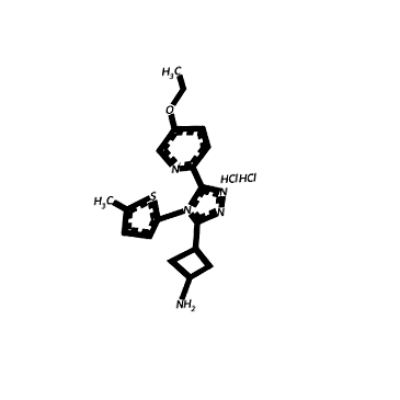 CCOc1ccc(-c2nnc(C3CC(N)C3)n2-c2ccc(C)s2)nc1.Cl.Cl